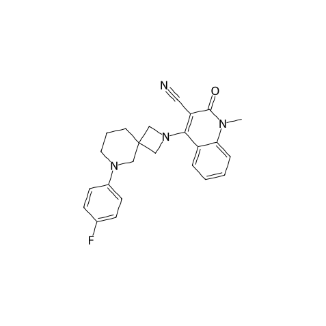 Cn1c(=O)c(C#N)c(N2CC3(CCCN(c4ccc(F)cc4)C3)C2)c2ccccc21